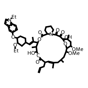 C=CCC1/C=C(\C)CC(C)CC(OC)C2OC(O)(C(=O)C(=O)N3CCCCC3C(=O)OC(C(C)=CC3CCC(Oc4ccc5c(ccn5CC)c4)C(OCC)C3)C(C)C(O)CC1=O)C(C)CC2OC